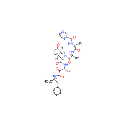 CCCC(NC(=O)[C@@H]1[C@H]2CCC(=O)[C@H]2CN1C(=O)[C@@H](NC(=O)[C@@H](NC(=O)c1cnccn1)C(C)C)C(C)C)C(=O)C(=O)N[C@@H](Cc1ccccc1)C(=O)O